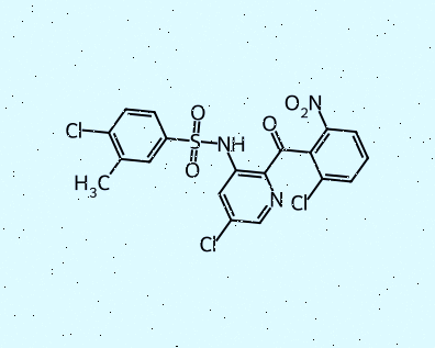 Cc1cc(S(=O)(=O)Nc2cc(Cl)cnc2C(=O)c2c(Cl)cccc2[N+](=O)[O-])ccc1Cl